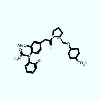 COc1cc(CC(=O)N2CCC[C@H]2COC2CCC(C(=O)O)CC2)ccc1N(C(N)=O)c1ccccc1Br